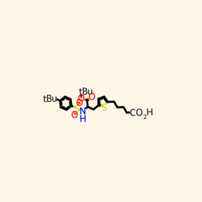 CC(C)(C)OC(=O)C(Cc1ccc(CCCCC(=O)O)s1)NS(=O)(=O)c1ccc(C(C)(C)C)cc1